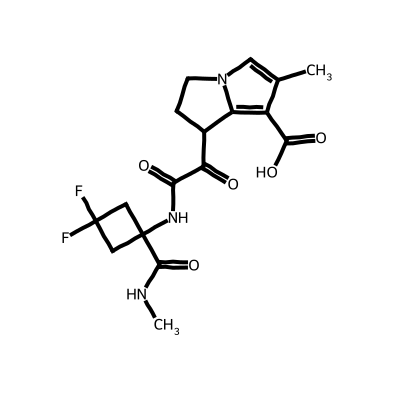 CNC(=O)C1(NC(=O)C(=O)C2CCn3cc(C)c(C(=O)O)c32)CC(F)(F)C1